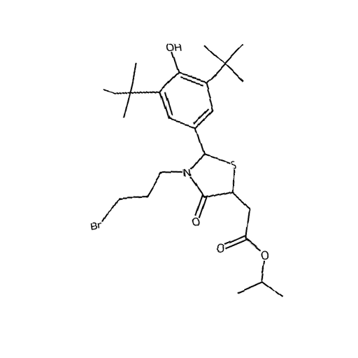 CC(C)OC(=O)CC1SC(c2cc(C(C)(C)C)c(O)c(C(C)(C)C)c2)N(CCCBr)C1=O